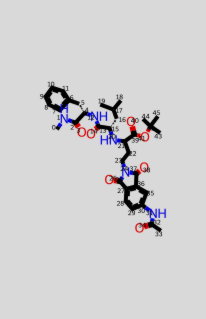 CNC(=O)[C@H](Cc1ccccc1)NC(=O)[C@H](CC(C)C)NC(CCN1C(=O)c2ccc(NC(C)=O)cc2C1=O)C(=O)OC(C)(C)C